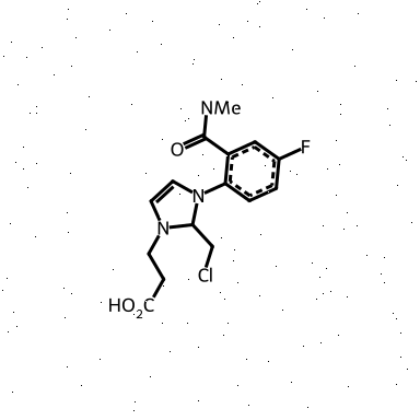 CNC(=O)c1cc(F)ccc1N1C=CN(CCC(=O)O)C1CCl